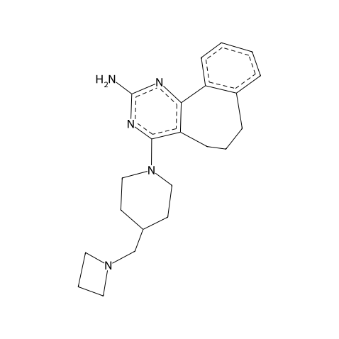 Nc1nc2c(c(N3CCC(CN4CCC4)CC3)n1)CCCc1ccccc1-2